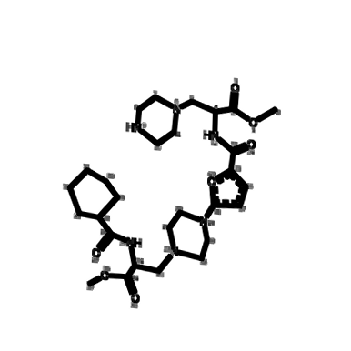 COC(=O)C(CN1CCNCC1)NC(=O)c1ccc(N2CCN(CC(NC(=O)C3CCCCC3)C(=O)OC)CC2)o1